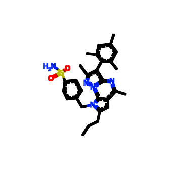 CCCc1cc2c(C)nc3c(-c4c(C)cc(C)cc4C)c(C)nn3c2n1Cc1ccc(S(N)(=O)=O)cc1